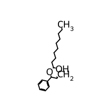 C=CC(OC(O)CCCCCCCCC)c1ccccc1